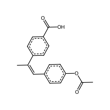 CC(=O)Oc1ccc(C=C(C)c2ccc(C(=O)O)cc2)cc1